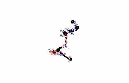 Cc1c(-c2ccc(N3CCc4cccc(C(=O)Nc5nc6ccccc6s5)c4C3)nc2C(=O)O)cnn1CC12CC3(C)CC(C)(C1)CC(OCCOCCOCCN(C)C(=O)OC/C=C/c1ccc(O[C@@H]4O[C@H](C(=O)O)[C@@H](O)[C@H](O)[C@H]4O)c(NC(=O)CCNC(=O)CCCCCN4C(=O)C=CC4=O)c1)(C3)C2